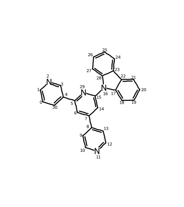 c1cncc(-c2cc(-c3ccncc3)cc(-n3c4ccccc4c4ccccc43)n2)c1